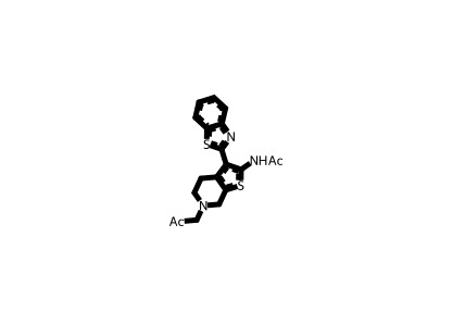 CC(=O)CN1CCc2c(sc(NC(C)=O)c2-c2nc3ccccc3s2)C1